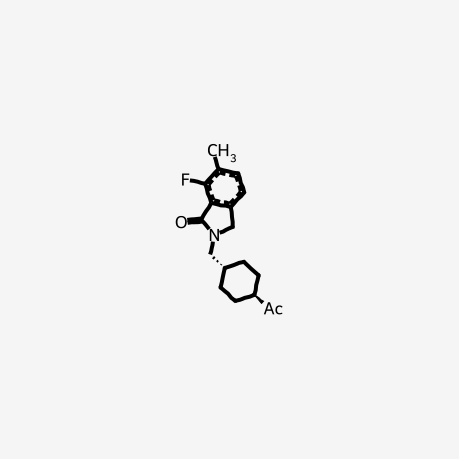 Cc1ccc2c(c1F)C(=O)N(C[C@H]1CC[C@H](C(C)=O)CC1)C2